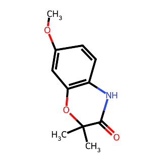 COc1ccc2c(c1)OC(C)(C)C(=O)N2